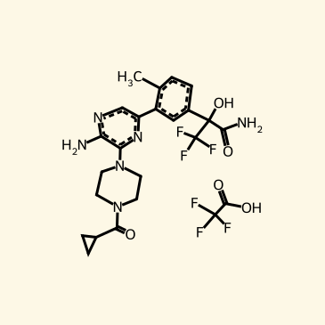 Cc1ccc(C(O)(C(N)=O)C(F)(F)F)cc1-c1cnc(N)c(N2CCN(C(=O)C3CC3)CC2)n1.O=C(O)C(F)(F)F